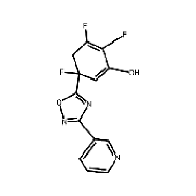 OC1=CC(F)(c2nc(-c3cccnc3)no2)CC(F)=C1F